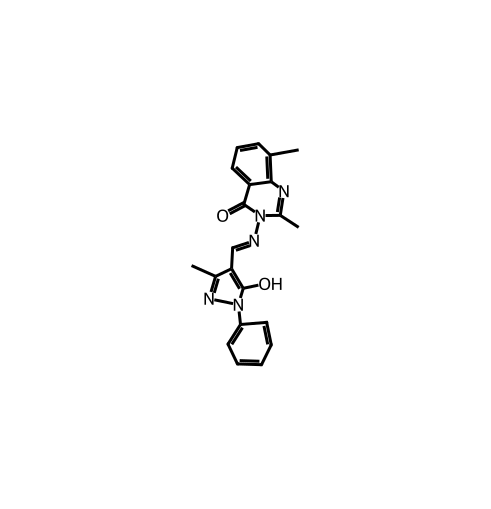 Cc1nn(-c2ccccc2)c(O)c1C=Nn1c(C)nc2c(C)cccc2c1=O